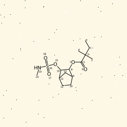 CCC(C)(C)C(=O)OC1C2CCC(C2)C1OS(=O)(=O)NC